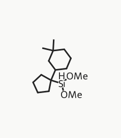 CO[SiH](OC)C1(C2CCCC(C)(C)C2)CCCC1